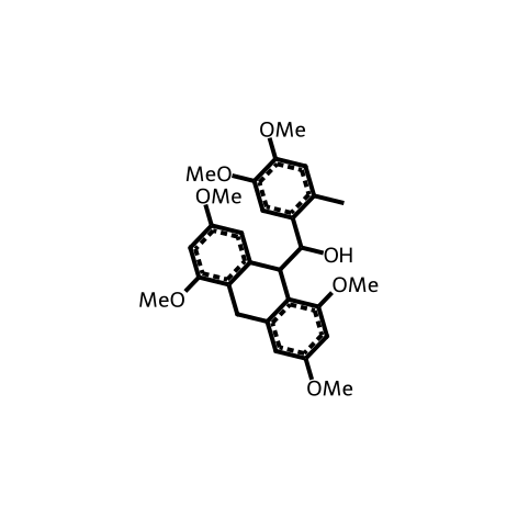 COc1cc2c(c(OC)c1)C(C(O)c1cc(OC)c(OC)cc1C)c1cc(OC)cc(OC)c1C2